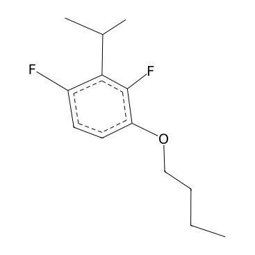 CCCCOc1ccc(F)c(C(C)C)c1F